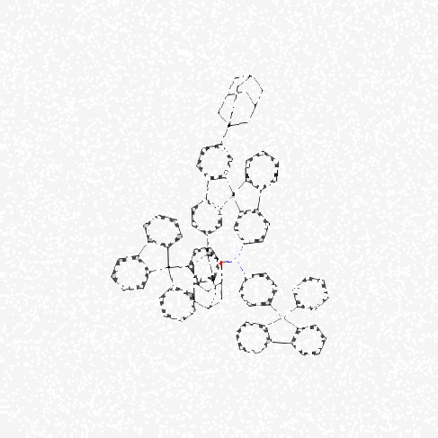 c1ccc(C2(c3ccc(N(c4ccc(C5(c6ccccc6)c6ccccc6-c6ccccc65)cc4)c4ccc5c(c4)C4(c6ccccc6-5)c5cc(C67CC8CC(CC(C8)C6)C7)ccc5-c5ccc(C67CC8CC(CC(C8)C6)C7)cc54)cc3)c3ccccc3-c3ccccc32)cc1